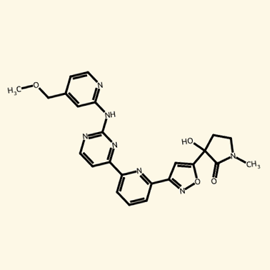 COCc1ccnc(Nc2nccc(-c3cccc(-c4cc(C5(O)CCN(C)C5=O)on4)n3)n2)c1